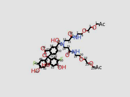 CC(=O)COCCOCCNC(=O)CCN(CCC(=O)NCCOCCOCC(C)=O)C(O)c1ccc2c(c1)C(=O)OC2(c1ccc(O)c(F)c1)c1cc(F)c(O)cc1O